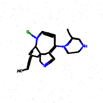 CC1CNCCN1C1=C2C=NCC23C/C(=C/C#N)C=CC3N(Cl)C=C1